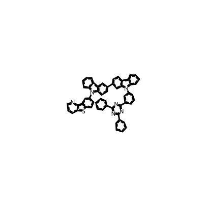 c1ccc(-c2nc(-c3ccccc3)nc(-c3cccc(-n4c5ccccc5c5ccc(-c6ccc7c(c6)c6ccccc6n7-c6ccc7sc8cccnc8c7c6)cc54)c3)n2)cc1